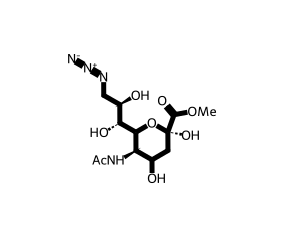 COC(=O)[C@@]1(O)CC(O)[C@@H](NC(C)=O)C([C@H](O)[C@H](O)CN=[N+]=[N-])O1